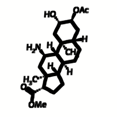 COC(=O)[C@H]1CC[C@H]2[C@@H]3CC[C@H]4C[C@H](OC(C)=O)[C@@H](O)C[C@]4(C)[C@H]3[C@H](N)C[C@]12C